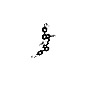 CCCC1=Cc2c(-c3ccc(C)cc3)cccc2C1C[SiH2]CC1C(CCC)=Cc2c(-c3ccc(C)cc3)cccc21